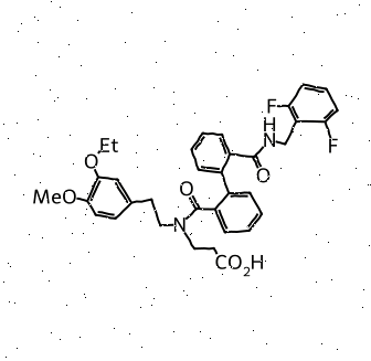 CCOc1cc(CCN(CCC(=O)O)C(=O)c2ccccc2-c2ccccc2C(=O)NCc2c(F)cccc2F)ccc1OC